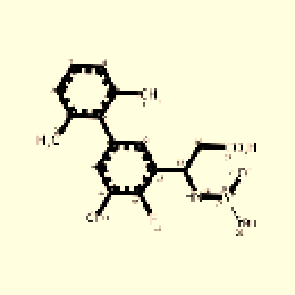 Cc1cccc(C)c1-c1cc(Cl)c(F)c(C(CC(=O)O)N[S@+]([O-])C(C)(C)C)c1